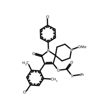 CON1CCC2(CC1)C(OC(=O)SC(C)C)=C(c1c(C)cc(Cl)cc1C)C(=O)N2c1ccc(Cl)cc1